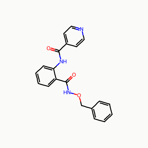 O=C(Nc1ccccc1C(=O)NOCc1ccccc1)c1ccncc1